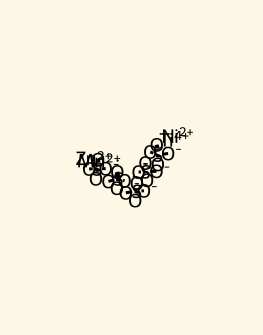 O=S(=O)([O-])[O-].O=S(=O)([O-])[O-].O=S(=O)([O-])[O-].O=S(=O)([O-])[O-].O=S(=O)([O-])[O-].[Mn+2].[Ni+2].[Ti+4].[Zn+2]